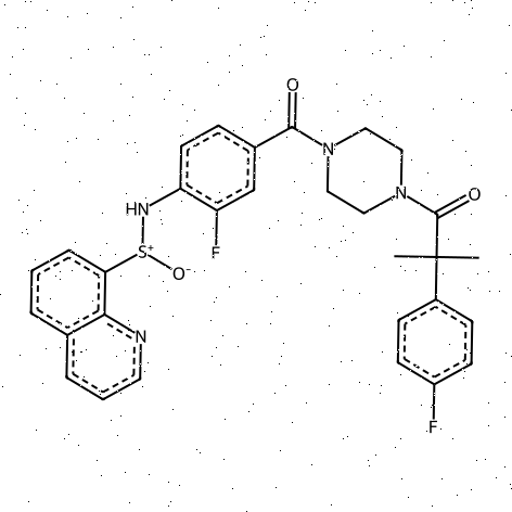 CC(C)(C(=O)N1CCN(C(=O)c2ccc(N[S+]([O-])c3cccc4cccnc34)c(F)c2)CC1)c1ccc(F)cc1